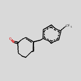 O=C1C=C(c2ccc(C(F)(F)F)cc2)CCC1